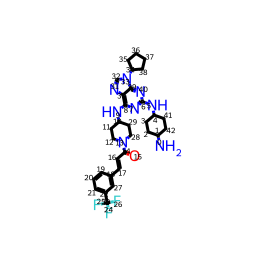 NC1CCC(Nc2nc(NC3CCN(C(=O)C=Cc4cccc(C(F)(F)F)c4)CC3)c3ncn(C4CCCC4)c3n2)CC1